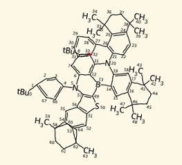 CC(C)(C)c1ccc(N2c3cc(C(C)(C)C)cc4c3B(c3cc5c(cc3N4c3ccc4c(c3-c3ccccc3)C(C)(C)CCC4(C)C)C(C)(C)CCC5(C)C)c3sc4cc5c(cc4c32)C2(C)CCC5(C)CC2)cc1